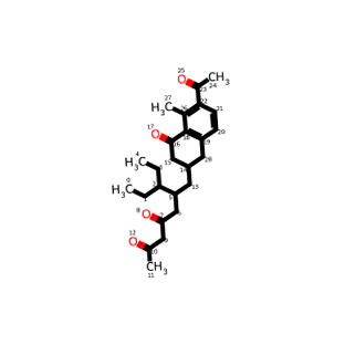 CCC(CC)C(CC(=O)CC(C)=O)CC1CC(=O)c2c(ccc(C(C)=O)c2C)C1